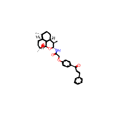 C[C@H]1[C@H](NC(=O)COc2ccc(C(=O)/C=C/c3ccccc3)cc2)O[C@@H]2O[C@]3(C)CC[C@H]4[C@H](C)CC[C@@H]1[C@@]24OO3